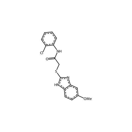 COc1ccc2[nH]c(SCC(=O)Nc3ccccc3Cl)nc2c1